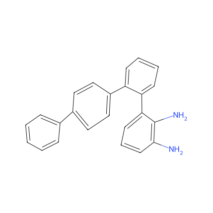 Nc1cccc(-c2ccccc2-c2ccc(-c3ccccc3)cc2)c1N